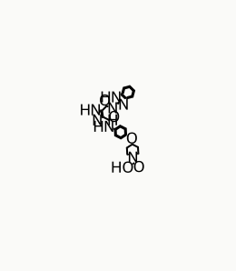 O=C(Nc1ccc(OC2CCN(C(=O)O)CC2)cc1)c1nc[nH]c1C(=O)Nc1nc2ccccc2[nH]1